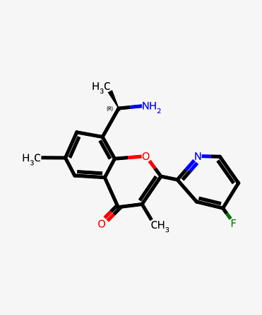 Cc1cc([C@@H](C)N)c2oc(-c3cc(F)ccn3)c(C)c(=O)c2c1